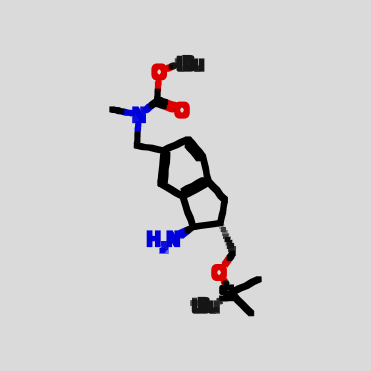 CN(Cc1ccc2c(c1)[C@H](N)[C@@H](CO[Si](C)(C)C(C)(C)C)C2)C(=O)OC(C)(C)C